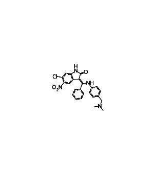 CN(C)Cc1ccc(N/C(=C2\C(=O)Nc3cc(Cl)c([N+](=O)[O-])cc32)c2ccccc2)cc1